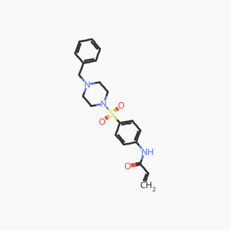 C=CC(=O)Nc1ccc(S(=O)(=O)N2CCN(Cc3ccccc3)CC2)cc1